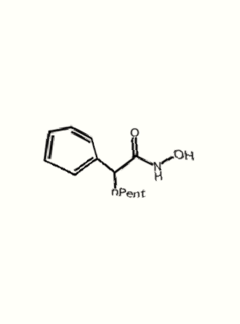 CCCCCC(C(=O)NO)c1ccccc1